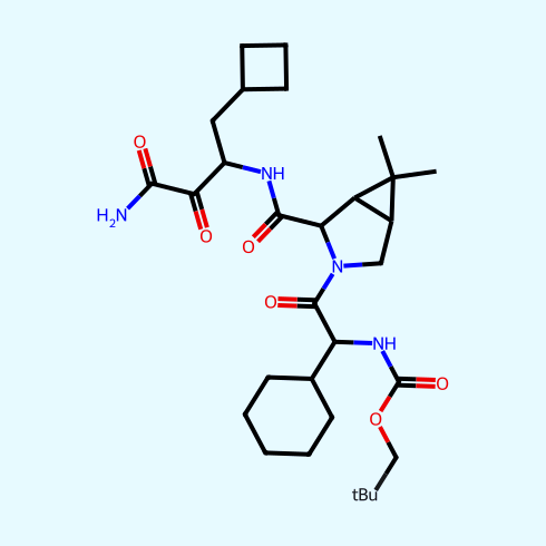 CC(C)(C)COC(=O)NC(C(=O)N1CC2C(C1C(=O)NC(CC1CCC1)C(=O)C(N)=O)C2(C)C)C1CCCCC1